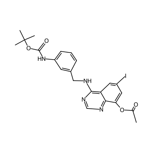 CC(=O)Oc1cc(I)cc2c(NCc3cccc(NC(=O)OC(C)(C)C)c3)ncnc12